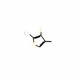 CCc1scc(C)c1F